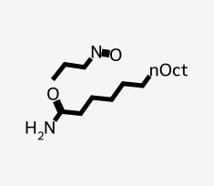 CCCCCCCCCCCCCC(N)=O.CCCN=O